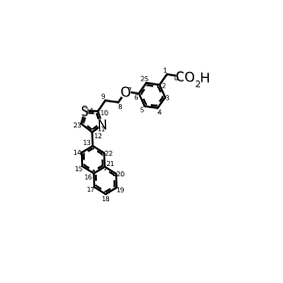 O=C(O)Cc1cccc(OCCc2nc(-c3ccc4ccccc4c3)cs2)c1